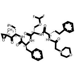 CC(C)C[C@H](NC(=O)[C@H](Cc1ccccc1)NC(=O)[C@H](COC(F)F)NC(=O)[C@H](CCc1ccccc1)NC(=O)CN1CCOCC1)C(=O)[C@]1(C)CO1